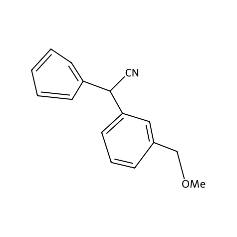 COCc1cccc(C(C#N)c2ccccc2)c1